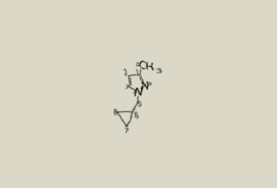 Cc1ccn(CC2CC2)n1